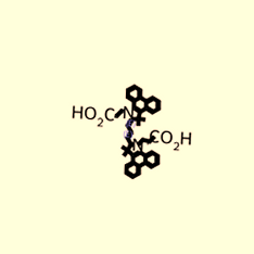 CC1(C)C(/C=C/C=C2/N(CCC(=O)O)c3c(c4ccccc4c4ccccc34)C2(C)C)=[N+](CCC(=O)O)c2c1c1ccccc1c1ccccc21